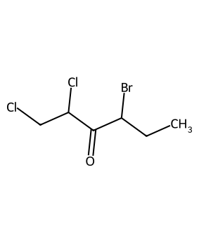 CCC(Br)C(=O)C(Cl)CCl